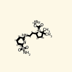 CC(C)(C)OC(=O)N1C(CCNc2cccc(S(N)(=O)=O)n2)CCC1(C)C